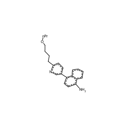 CCCOCCCCc1ccc(-c2ccc(N)c3ccccc23)cn1